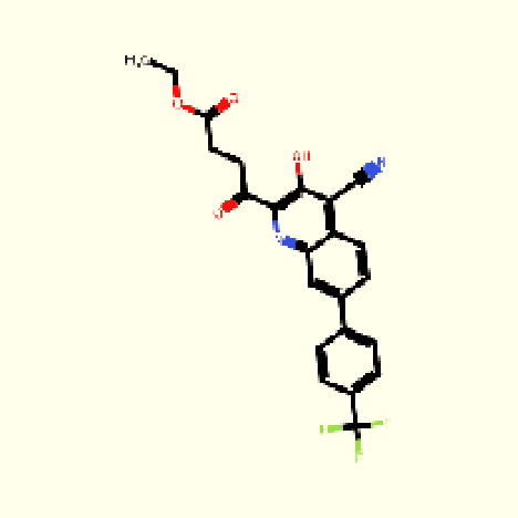 CCOC(=O)CCC(=O)c1nc2cc(-c3ccc(C(F)(F)F)cc3)ccc2c(C#N)c1O